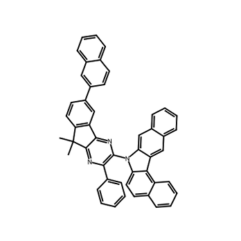 CC1(C)c2ccc(-c3ccc4ccccc4c3)cc2-c2nc(-n3c4cc5ccccc5cc4c4c5ccccc5ccc43)c(-c3ccccc3)nc21